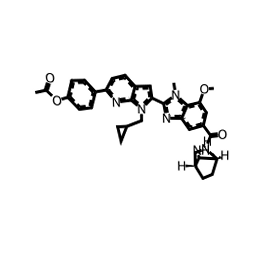 COc1cc(C(=O)N2C[C@H]3CC[C@@H]2[C@@H]3N)cc2nc(-c3cc4ccc(-c5ccc(OC(C)=O)cc5)nc4n3CC3CC3)n(C)c12